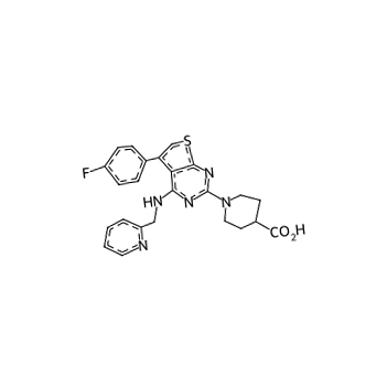 O=C(O)C1CCN(c2nc(NCc3ccccn3)c3c(-c4ccc(F)cc4)csc3n2)CC1